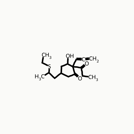 C=C=CC1(C(=O)CC)C(=O)CC(CC(C)SCC)CC1O